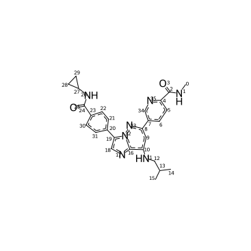 CNC(=O)c1ccc(-c2cc(NCC(C)C)c3ncc(-c4ccc(C(=O)NC5CC5)cc4)n3n2)cn1